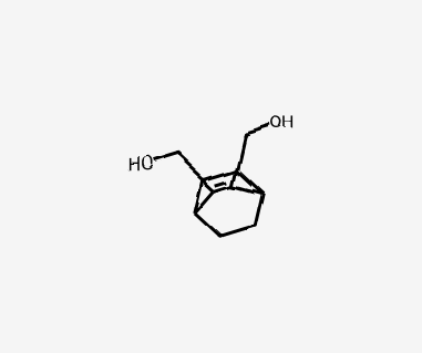 OCC1=C(CO)C2CCC1CC2